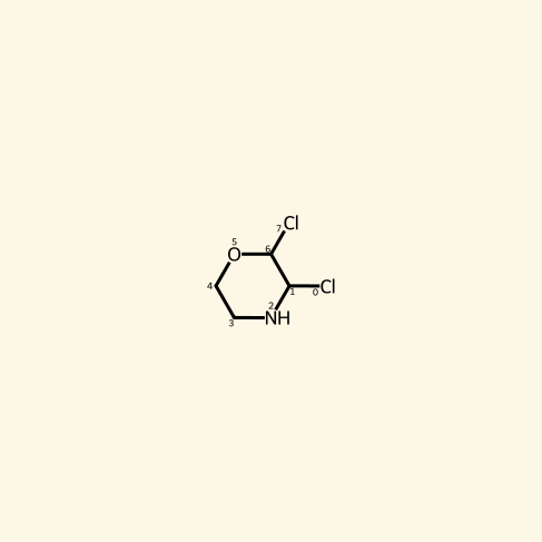 ClC1NCCOC1Cl